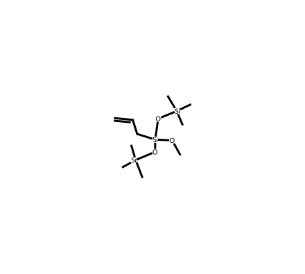 C=CC[Si](OC)(O[Si](C)(C)C)O[Si](C)(C)C